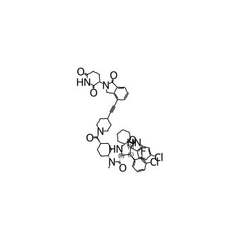 CN(C(=O)[C@@H]1NC2(CCCCC2)[C@@]2(C(=O)Nc3cc(Cl)ccc32)[C@H]1c1cccc(Cl)c1F)[C@H]1CC[C@H](C(=O)N2CCC(C#Cc3cccc4c3CN(C3CCC(=O)NC3=O)C4=O)CC2)CC1